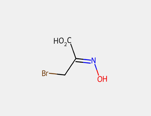 O=C(O)/C(CBr)=N/O